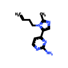 C=CCCn1c(-c2ccnc(N)n2)cnc1C